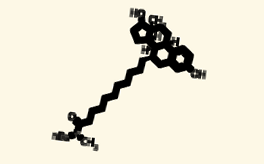 CCCCN(C)C(=O)CCCCCCCCCC[C@@H]1Cc2cc(O)ccc2[C@H]2CC[C@]3(C)C(O)CC[C@H]3[C@H]12